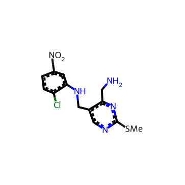 CSc1ncc(CNc2cc([N+](=O)[O-])ccc2Cl)c(CN)n1